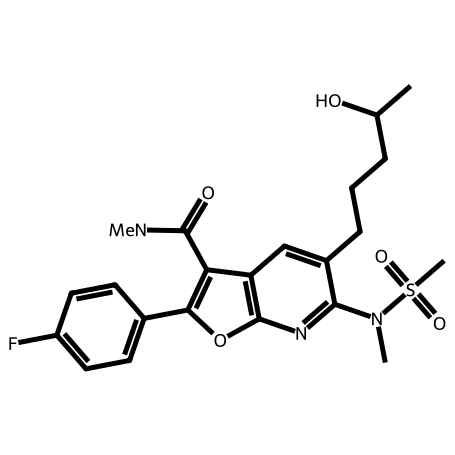 CNC(=O)c1c(-c2ccc(F)cc2)oc2nc(N(C)S(C)(=O)=O)c(CCCC(C)O)cc12